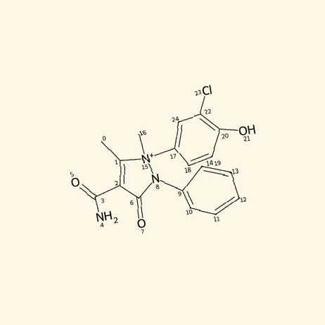 CC1=C(C(N)=O)C(=O)N(c2ccccc2)[N+]1(C)c1ccc(O)c(Cl)c1